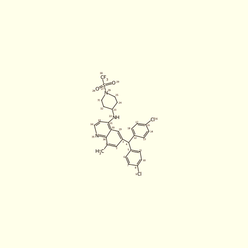 Cc1cc(C(c2ccc(Cl)cc2)c2ccc(Cl)cc2)cc2c(NC3CCN(S(=O)(=O)C(F)(F)F)CC3)ccnc12